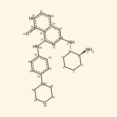 N[C@H]1CCCC[C@@H]1Nc1cc2nc[nH]c(=O)c2c(Nc2ccc(N3CCOCC3)cc2)n1